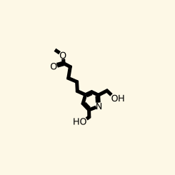 COC(=O)CCCCc1cc(CO)nc(CO)c1